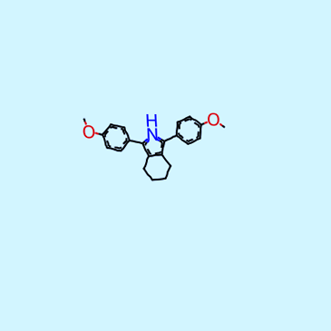 COc1ccc(-c2[nH]c(-c3ccc(OC)cc3)c3c2CCCC3)cc1